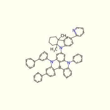 CC12CCCCC1(C)N(c1cc3c4c(c1)N(c1cccc(-c5ccccc5)c1)c1cc(-c5ccccc5)ccc1B4c1ccccc1N3c1ccccc1)c1ccc(-c3ccccn3)cc12